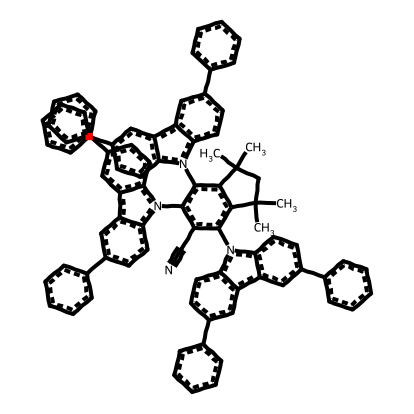 CC1(C)CC(C)(C)c2c(-n3c4ccc(-c5ccccc5)cc4c4cc(-c5ccccc5)ccc43)c(-n3c4ccc(-c5ccccc5)cc4c4cc(-c5ccccc5)ccc43)c(C#N)c(-n3c4ccc(-c5ccccc5)cc4c4cc(-c5ccccc5)ccc43)c21